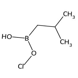 CC(C)CB(O)OCl